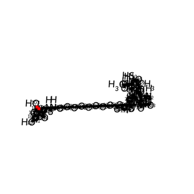 CC(=O)N[C@@H](CC(=O)O)C(=O)N[C@@H](CS)C(=O)N[C@@H](C)C(=O)N[C@@H](Cc1c[nH]c2ccccc12)C(=O)N[C@@H](Cc1cnc[nH]1)C(=O)N[C@@H](CCC(=O)Nc1cc(OC(=O)CCOCCOCCOCCOCCOCCOCCOCCOCCNC(=S)Nc2ccc3c(c2)C(=O)OC32c3ccc(O)cc3Oc3cc(O)ccc32)ccc1F)C(=O)NCC=O